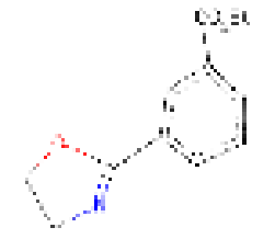 CCOC(=O)c1cccc(C2=NCCO2)c1